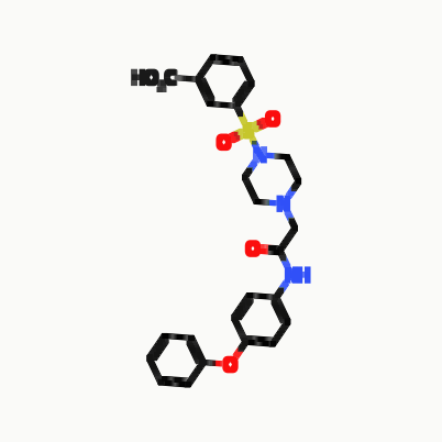 O=C(CN1CCN(S(=O)(=O)c2cccc(C(=O)O)c2)CC1)Nc1ccc(Oc2ccccc2)cc1